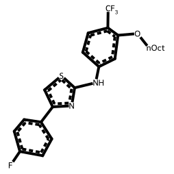 CCCCCCCCOc1cc(Nc2nc(-c3ccc(F)cc3)cs2)ccc1C(F)(F)F